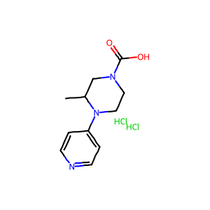 CC1CN(C(=O)O)CCN1c1ccncc1.Cl.Cl